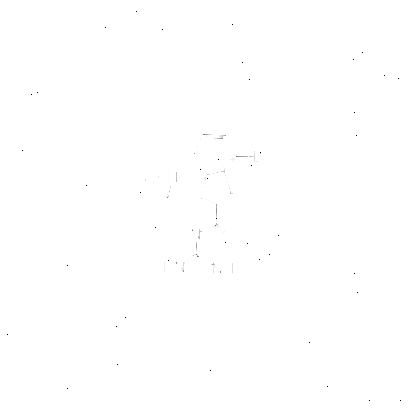 CS(=O)(=O)O.N=C(N)NC(=O)c1cc2c(Br)cccc2s1